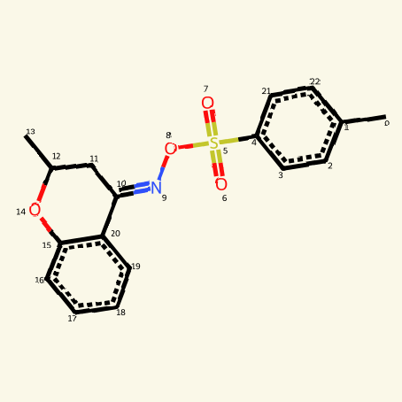 Cc1ccc(S(=O)(=O)O/N=C2\CC(C)Oc3ccccc32)cc1